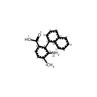 Cc1ccc(C(=O)O)c(-c2cccc3ccccc23)c1N